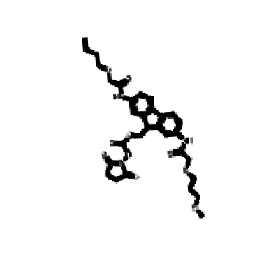 CCCCOCC(=O)Nc1ccc2c(c1)C(COC(=O)ON1C(=O)CCC1=O)c1cc(NC(=O)COCCCOC)ccc1-2